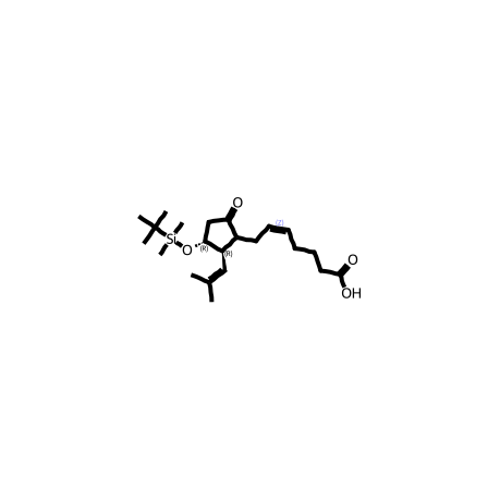 CC(C)=C[C@@H]1C(C/C=C\CCCC(=O)O)C(=O)C[C@H]1O[Si](C)(C)C(C)(C)C